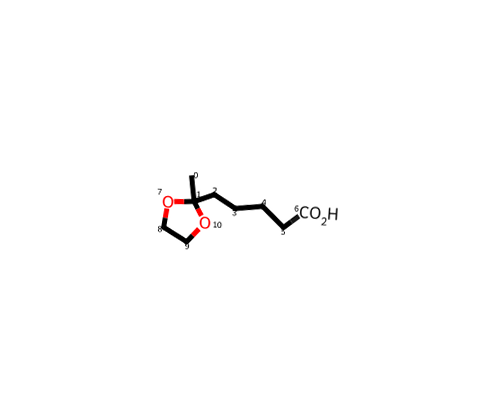 CC1(CCCCC(=O)O)OCCO1